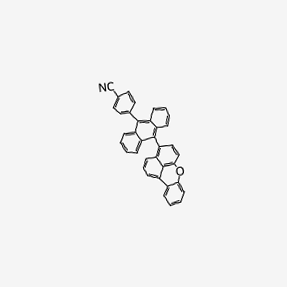 N#Cc1ccc(-c2c3ccccc3c(-c3ccc4c5c(cccc35)-c3ccccc3O4)c3ccccc23)cc1